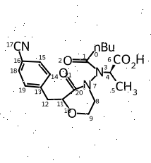 CCCCC(=O)N([C@H](C)C(=O)O)N1CCOC(Cc2ccc(C#N)cc2)C1=O